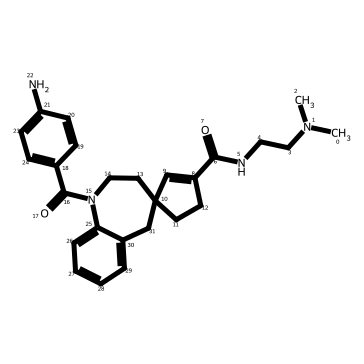 CN(C)CCNC(=O)C1=CC2(CC1)CCN(C(=O)c1ccc(N)cc1)c1ccccc1C2